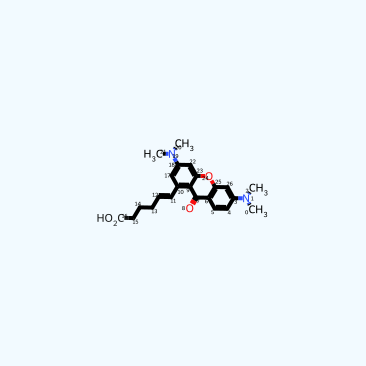 CN(C)c1ccc2c(=O)c3c(/C=C/CCCC(=O)O)cc(N(C)C)cc3oc2c1